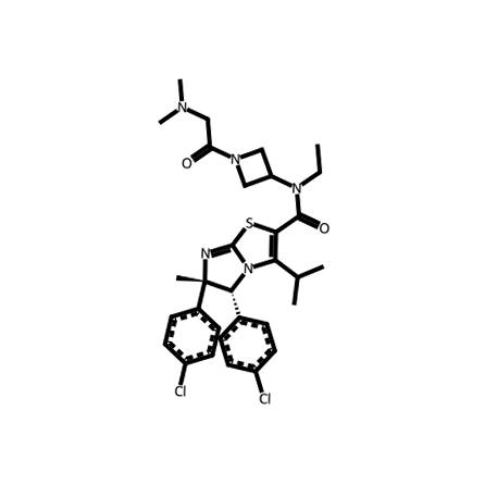 CCN(C(=O)C1=C(C(C)C)N2C(=N[C@@](C)(c3ccc(Cl)cc3)[C@H]2c2ccc(Cl)cc2)S1)C1CN(C(=O)CN(C)C)C1